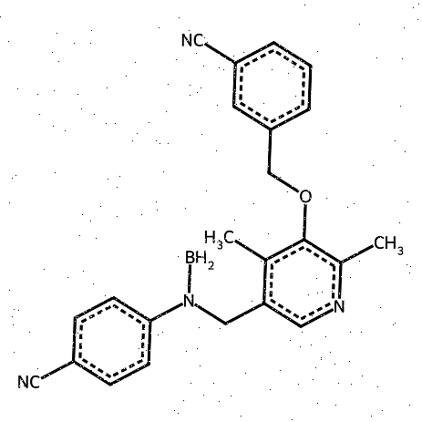 BN(Cc1cnc(C)c(OCc2cccc(C#N)c2)c1C)c1ccc(C#N)cc1